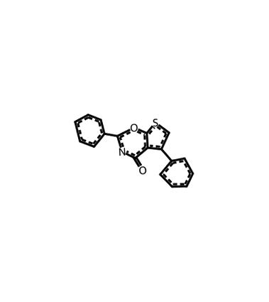 O=c1nc(-c2ccccc2)oc2scc(-c3ccccc3)c12